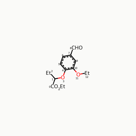 CCOC(=O)C(CC)Oc1ccc(C=O)cc1OCC